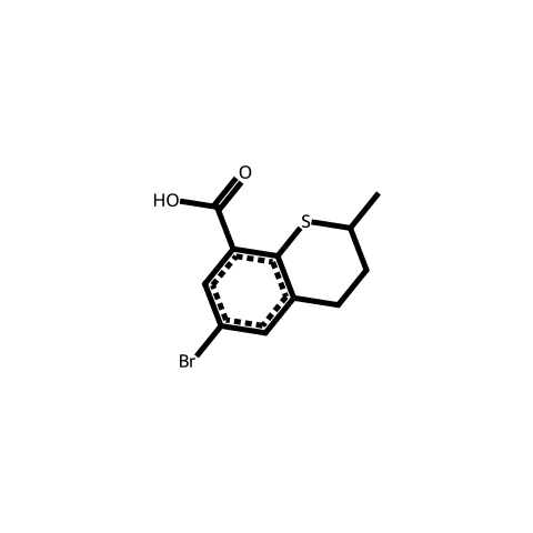 CC1CCc2cc(Br)cc(C(=O)O)c2S1